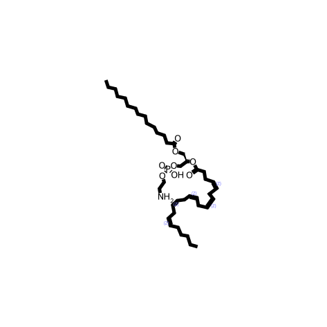 CCCCC/C=C\C/C=C\C/C=C\C/C=C\C/C=C\CCC(=O)O[C@H](COC(=O)CCCCCCCCCCCCCC)COP(=O)(O)OCCN